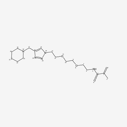 C=C(C)C(=O)NCCOCCOCCn1cc(CN2CCSCC2)nn1